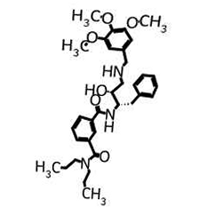 CCCN(CCC)C(=O)c1cccc(C(=O)N[C@@H](Cc2ccccc2)[C@H](O)CNCc2cc(OC)c(OC)c(OC)c2)c1